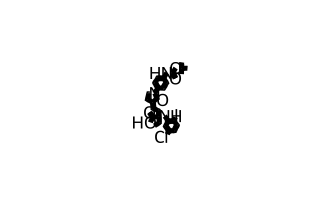 CCC(C/C=C1/CCN(c2ccc(NC(=O)OC(C)(C)C)cc2)C1=O)(Nc1cc(Cl)ccc1I)C(=O)O